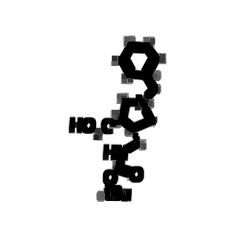 CC(C)(C)OC(=O)NC[C@H]1CN(Cc2ccccc2)C[C@H]1C(=O)O